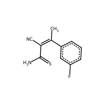 CC(=C(C#N)C(N)=S)c1cccc(F)c1